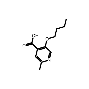 CCCCOc1cnc(C)cc1C(=O)O